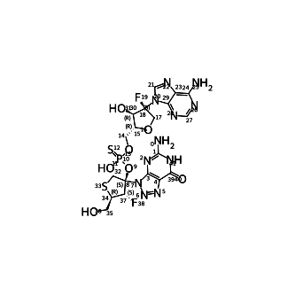 Nc1nc2c(nnn2[C@@]2(OP(O)(=S)OC[C@H]3OC[C@@](F)(n4cnc5c(N)ncnc54)[C@@H]3O)CS[C@H](CO)[C@H]2F)c(=O)[nH]1